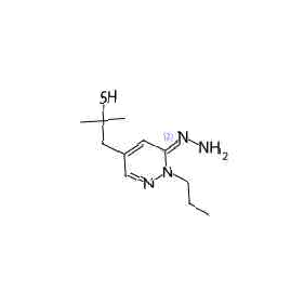 CCCn1ncc(CC(C)(C)S)c/c1=N/N